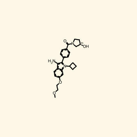 COCCOc1ccc2c(N)c(-c3ccc(C(=O)N4CC[C@@H](O)C4)cc3)n(C3CCC3)c2c1